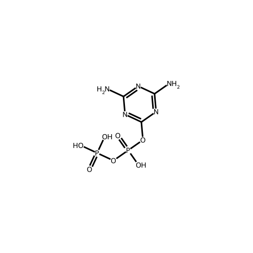 Nc1nc(N)nc(OP(=O)(O)OP(=O)(O)O)n1